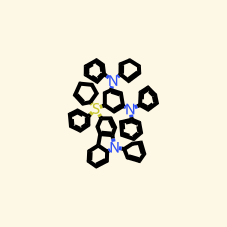 C1=CCC(N2C3=C(CC(S(c4ccccc4)(C4C=CCCC4)C4C=C(N(c5ccccc5)c5ccccc5)C=C(N(C5=CCCC=C5)c5ccccc5)C4)C=C3)C3C=CC=CC32)C=C1